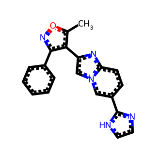 Cc1onc(-c2ccccc2)c1-c1cn2cc(-c3ncc[nH]3)ccc2n1